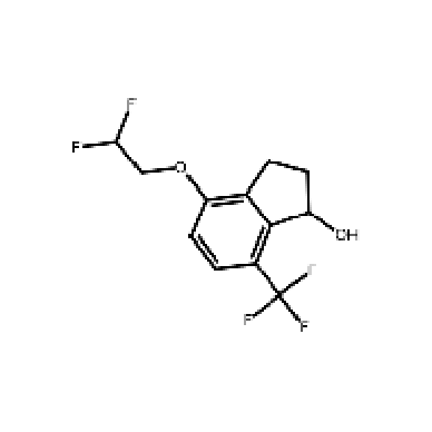 OC1CCc2c(OCC(F)F)ccc(C(F)(F)F)c21